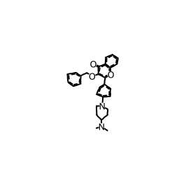 CN(C)C1CCN(c2ccc(-c3oc4ccccc4c(=O)c3OCc3ccccc3)cc2)CC1